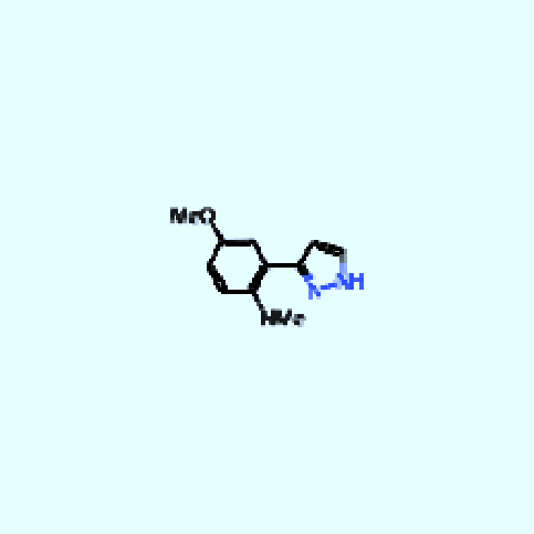 CNc1ccc(OC)cc1-c1cc[nH]n1